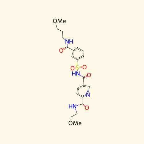 COCCCNC(=O)c1cccc(S(=O)(=O)NC(=O)c2ccc(C(=O)NCCOC)nc2)c1